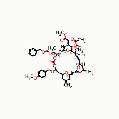 C=C1CC2C[C@@H](OCc3ccc(OC)cc3)CC(=O)O[C@@H]([C@@H](C)OCOCc3ccccc3)C[C@@H]3C/C(=C\C(=O)OC)[C@H](OC(C)=O)[C@@](OC)(O3)C(C)(C)/C=C/[C@H]3CC(=C)C[C@@H](C[C@@H](C1)O2)O3